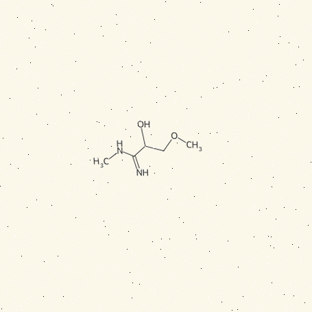 CNC(=N)C(O)COC